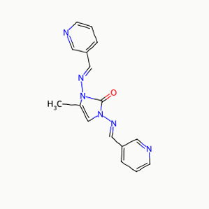 Cc1cn(N=Cc2cccnc2)c(=O)n1N=Cc1cccnc1